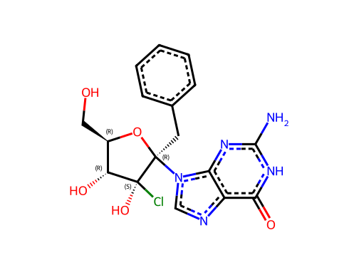 Nc1nc2c(ncn2[C@]2(Cc3ccccc3)O[C@H](CO)[C@@H](O)[C@]2(O)Cl)c(=O)[nH]1